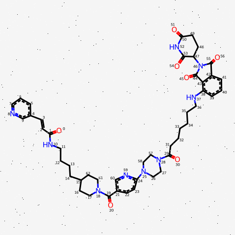 O=C(/C=C/c1cccnc1)NCCCCC1CCN(C(=O)c2ccc(N3CCN(C(=O)CCCCCCNc4cccc5c4C(=O)N(C4CCC(=O)NC4=O)C5=O)CC3)nc2)CC1